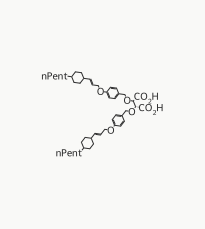 CCCCCC1CCC(C=CCOc2ccc(CO[C@@H](C(=O)O)[C@@H](OCc3ccc(OCC=CC4CCC(CCCCC)CC4)cc3)C(=O)O)cc2)CC1